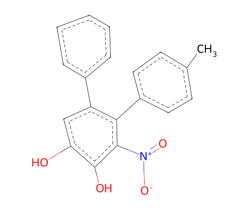 Cc1ccc(-c2c(-c3ccccc3)cc(O)c(O)c2[N+](=O)[O-])cc1